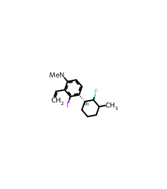 C=Cc1c(NC)ccc([C@H]2CCCC(C)C2F)c1I